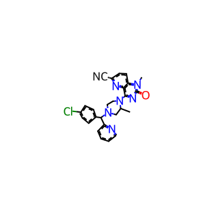 CC1CN(C(c2ccc(Cl)cc2)c2ccccn2)CCN1c1nc(=O)n(C)c2ccc(C#N)nc12